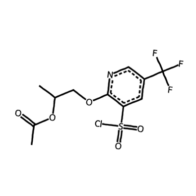 CC(=O)OC(C)COc1ncc(C(F)(F)F)cc1S(=O)(=O)Cl